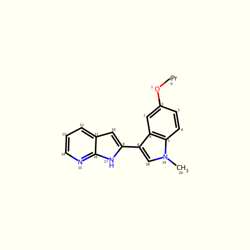 CC(C)Oc1ccc2c(c1)c(-c1cc3cccnc3[nH]1)cn2C